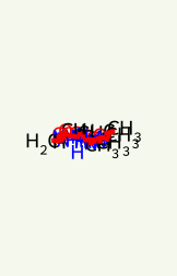 C=C1C[C@H]2C=Nc3cc(OCCCC(=O)Nc4cn(C)c(C(=O)Nc5cc(C(=O)Nc6cc(C(=O)n7ccc8cc(C(C)(C)CCC)ccc87)n(C)c6)n(C)c5)n4)c(OC)cc3C(=O)N2C1